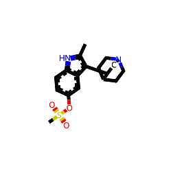 Cc1[nH]c2ccc(OS(C)(=O)=O)cc2c1C1CN2CCC1CC2